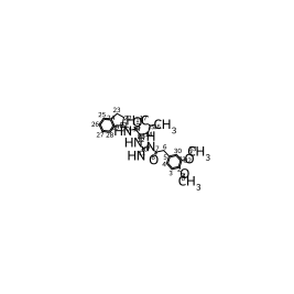 COc1ccc(CC(=O)NC(=N)N[C@H](CC(C)C)C(=O)N[C@H]2CCc3ccccc32)cc1OC